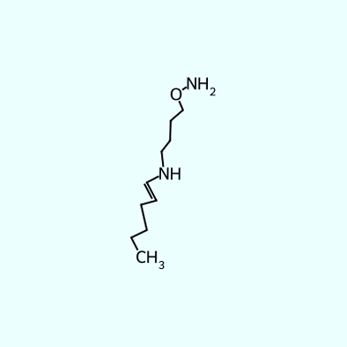 CCCCC=CNCCCCON